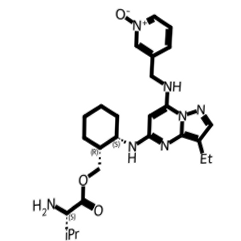 CCc1cnn2c(NCc3ccc[n+]([O-])c3)cc(N[C@H]3CCCC[C@H]3COC(=O)[C@@H](N)C(C)C)nc12